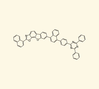 c1ccc(-c2nc(-c3ccccc3)nc(-c3ccc(-c4ccc(-c5ccc6c(c5)oc5c6ccc6nc(-c7cccc8ccccc78)oc65)c5ccccc45)cc3)n2)cc1